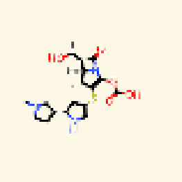 C[C@@H](O)[C@H]1C(=O)N2C(OC(=O)O)=C(S[C@@H]3CN[C@H](C4CCN(C)C4)C3)[C@H](C)[C@H]12